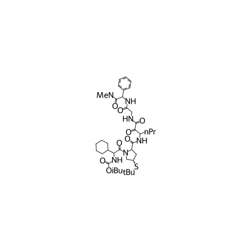 CCCC(NC(=O)C1C[C@@H](SC(C)(C)C)CN1C(=O)C(NC(=O)OCC(C)C)C1CCCCC1)C(=O)C(=O)NCC(=O)NC(C(=O)NC)c1ccccc1